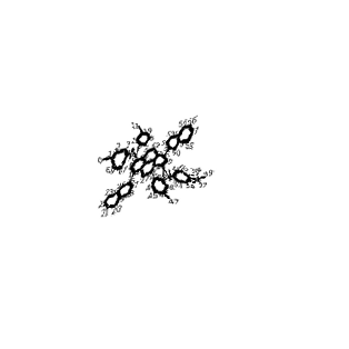 Cc1ccc(N(c2cccc(C)c2)c2cc(-c3ccc4ccccc4c3)c3ccc4c(N(c5ccc([Si](C)(C)C)cc5)c5cccc(C)c5)cc(-c5ccc6ccccc6c5)c5ccc2c3c54)cc1